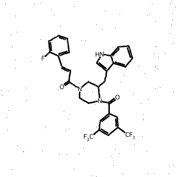 O=C(C=Cc1ccccc1F)N1CCN(C(=O)c2cc(C(F)(F)F)cc(C(F)(F)F)c2)C(Cc2c[nH]c3ccccc23)C1